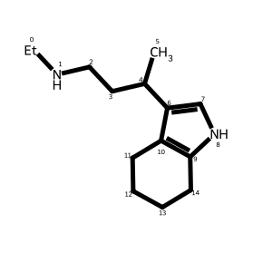 CCNCCC(C)c1c[nH]c2c1CCCC2